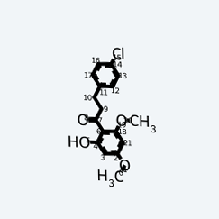 COc1cc(O)c(C(=O)CCc2ccc(Cl)cc2)c(OC)c1